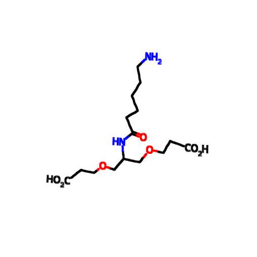 NCCCCCC(=O)NC(COCCC(=O)O)COCCC(=O)O